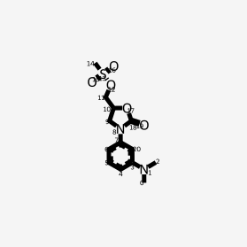 CN(C)c1cccc(N2CC(COS(C)(=O)=O)OC2=O)c1